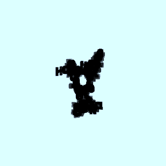 CC[C@H]1OC(=O)[C@H](C)[C@@H](O[C@H]2C[C@@](C)(OC)[C@@H](O)[C@H](C)O2)C(C)C(OC2O[C@H](C)C[C@H](N(C)C(=O)N3CCOCC3)[C@H]2O)[C@](C)(OC)CCC(=O)[C@H](C)[C@H]2N(CCCN(Cc3c(Cl)cncc3Cl)c3ccc(OC)c(OC4CCCC4)c3)C(=O)O[C@]12C